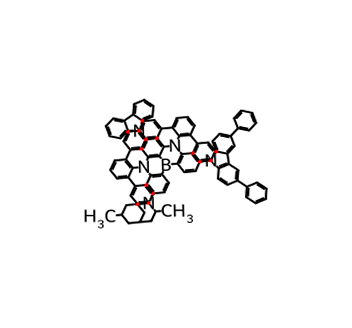 CC1CC2CC(C)N(c3ccc4c(c3)N(c3c(-c5ccccc5)cccc3-c3ccccc3)c3cc(-n5c6ccccc6c6ccccc65)cc5c3B4c3ccc(-n4c6ccc(-c7ccccc7)cc6c6cc(-c7ccccc7)ccc64)cc3N5c3c(-c4ccccc4)cccc3-c3ccccc3)C(C1)C2